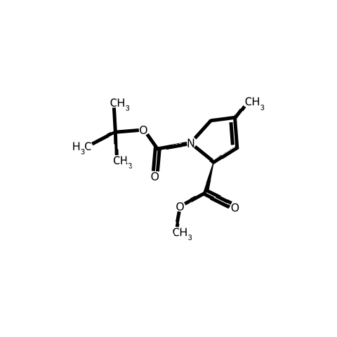 COC(=O)[C@@H]1C=C(C)CN1C(=O)OC(C)(C)C